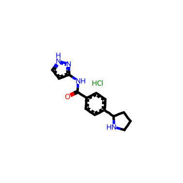 Cl.O=C(Nc1cc[nH]n1)c1ccc(C2CCCN2)cc1